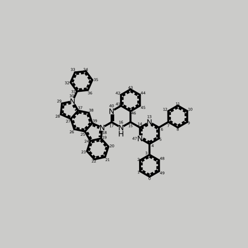 c1ccc(-c2cc(-c3ccccc3)nc(C3NC(n4c5ccccc5c5cc6ccn(-c7ccccc7)c6cc54)=Nc4ccccc43)n2)cc1